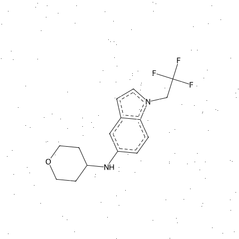 FC(F)(F)Cn1ccc2cc(NC3CCOCC3)ccc21